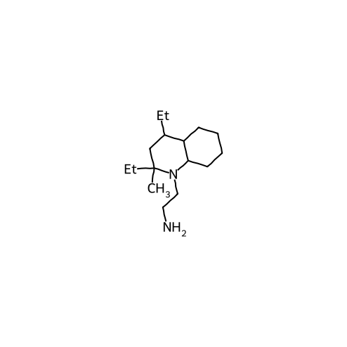 CCC1CC(C)(CC)N(CCN)C2CCCCC12